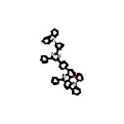 c1ccc(-c2cc(-c3ccc(-c4cccc5c4nc(-c4ccccc4)c4ccc6c7ccccc7n(-c7ccccc7)c6c45)cc3)nc(-c3cccc(-n4c5ccccc5c5ccccc54)c3)n2)cc1